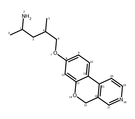 CC(N)CC(C)COc1ccc2c(c1)OCc1cnccc1-2